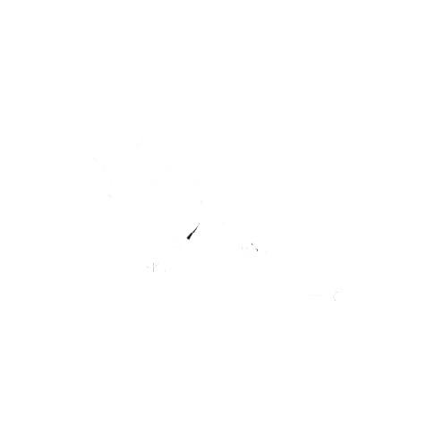 Cl.ClCCNC[C@@H](Cl)Cc1ccccc1